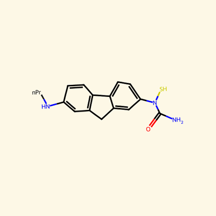 CCCNc1ccc2c(c1)Cc1cc(N(S)C(N)=O)ccc1-2